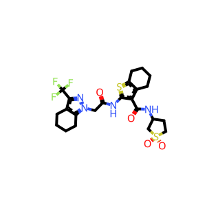 O=C(Cn1nc(C(F)(F)F)c2c1CCCC2)Nc1sc2c(c1C(=O)NC1CCS(=O)(=O)C1)CCCC2